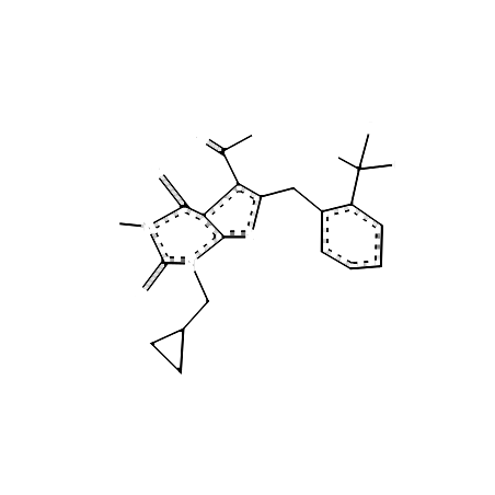 Cn1c(=O)c2c(C(=O)O)c(Cc3ccccc3C(F)(F)F)sc2n(CC2CC2)c1=O